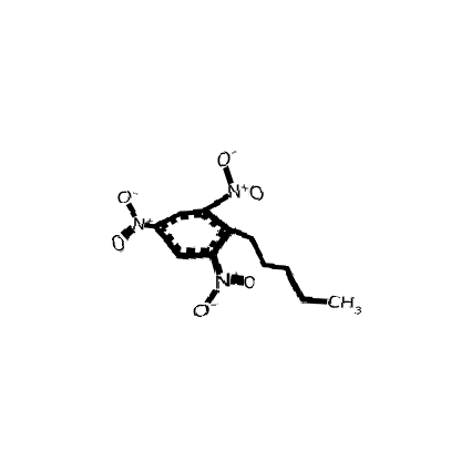 CCCCCc1c([N+](=O)[O-])cc([N+](=O)[O-])cc1[N+](=O)[O-]